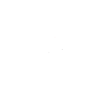 O=C1C2(CCCC2)c2ccccc2C12CCCC2